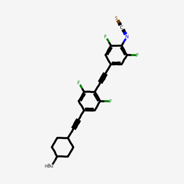 CCCCC1CCC(C#Cc2cc(F)c(C#Cc3cc(F)c(N=C=S)c(F)c3)c(F)c2)CC1